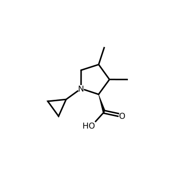 CC1CN(C2CC2)[C@H](C(=O)O)C1C